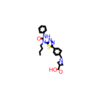 CCCCN(C(=O)Nc1ccccc1)c1nnc(-c2ccc(CN3CC(C(=O)O)C3)cc2)s1